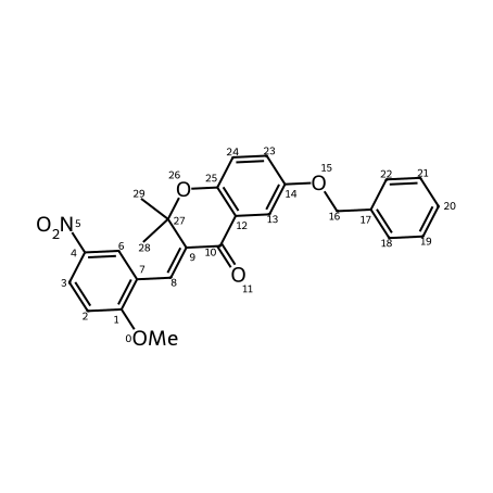 COc1ccc([N+](=O)[O-])cc1C=C1C(=O)c2cc(OCc3ccccc3)ccc2OC1(C)C